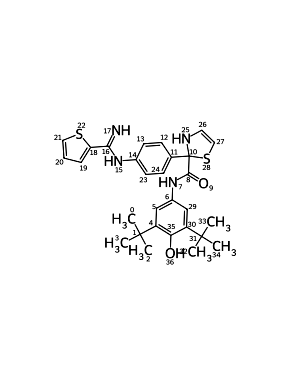 CC(C)(C)c1cc(NC(=O)C2(c3ccc(NC(=N)c4cccs4)cc3)NC=CS2)cc(C(C)(C)C)c1O